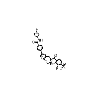 CCc1c(C(=O)N2CCOc3ccc(-c4ccc(C(=O)N[C@H]5CCNC5)cc4)cc3C2)ccc(S(C)(=O)=O)c1F